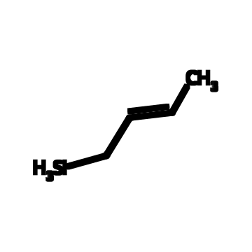 C/C=C/C[SiH3]